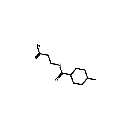 CC1CCC(C(=O)NCCC(=O)C(C)C)CC1